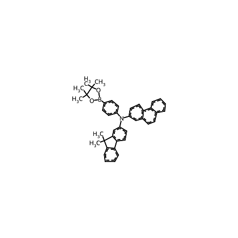 CC1(C)c2ccccc2-c2ccc(N(c3ccc(B4OC(C)(C)C(C)(C)O4)cc3)c3ccc4c(ccc5ccccc54)c3)cc21